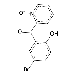 O=C(c1cc(Br)ccc1O)c1cccc[n+]1[O-]